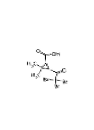 CC1(C)[C@H](C(=O)C(Br)(Br)Br)[C@@H]1C(=O)O